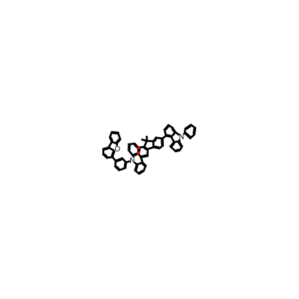 CC1(C)c2ccc(-c3ccccc3N(c3ccccc3)c3cccc(-c4cccc5c4oc4ccccc45)c3)cc2-c2ccc(-c3cccc4c3c3ccccc3n4-c3ccccc3)cc21